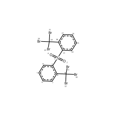 O=S(=O)(c1ccccc1C(Br)(Br)Br)c1ccccc1C(Br)(Br)Br